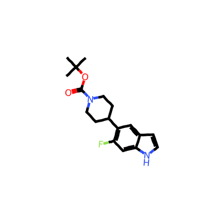 CC(C)(C)OC(=O)N1CCC(c2cc3cc[nH]c3cc2F)CC1